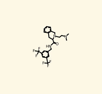 CN(C)CCN1Cc2ccccc2CC1C(=O)NCc1cc(C(F)(F)F)cc(C(F)(F)F)c1